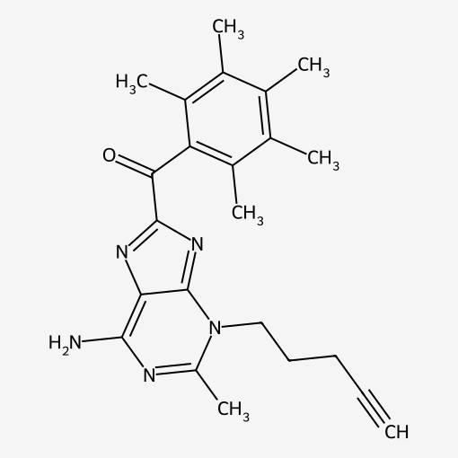 C#CCCCn1c(C)nc(N)c2nc(C(=O)c3c(C)c(C)c(C)c(C)c3C)nc1-2